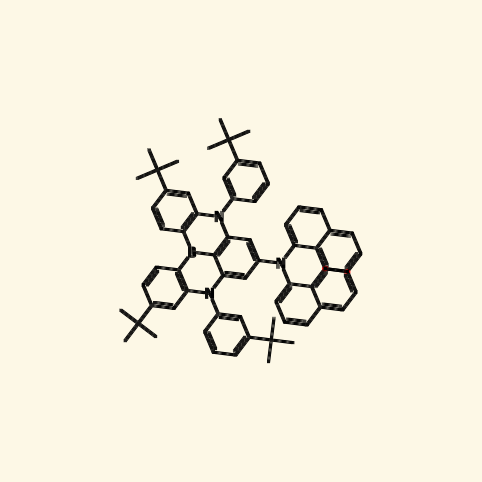 CC(C)(C)c1cccc(N2c3cc(C(C)(C)C)ccc3B3c4ccc(C(C)(C)C)cc4N(c4cccc(C(C)(C)C)c4)c4cc(N(c5cccc6ccccc56)c5cccc6ccccc56)cc2c43)c1